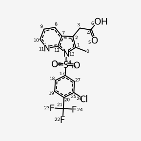 Cc1c(CC(=O)O)c2cccnc2n1S(=O)(=O)c1ccc(C(F)(F)F)c(Cl)c1